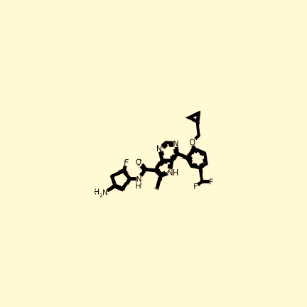 Cc1[nH]c2c(-c3cc(C(F)F)ccc3OCC3CC3)ncnc2c1C(=O)NC1CC(N)CC1F